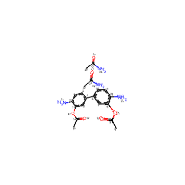 CC(=O)Oc1cc(-c2ccc(N)c(OC(C)=O)c2)ccc1N.CC(N)=O.CC(N)=O